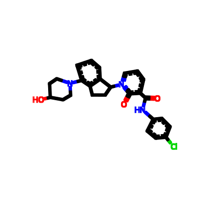 O=C(Nc1ccc(Cl)cc1)c1cccn(C2CCc3c2cccc3N2CCC(O)CC2)c1=O